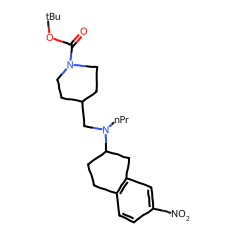 CCCN(CC1CCN(C(=O)OC(C)(C)C)CC1)C1CCc2ccc([N+](=O)[O-])cc2C1